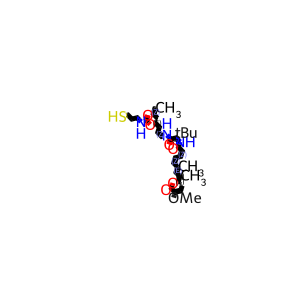 C/C=C\C[C@@H](C/C=C\NC(=O)[C@@H](NC(=O)\C=C/C=C\C(C)=C\[C@H](C)[C@@H]1CC=C(OC)C(=O)O1)C(C)(C)C)OC(=O)NCCCS